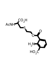 CC(=O)NC(CSCCOC(=O)c1cccc(C(=O)O)c1N)C(=O)O